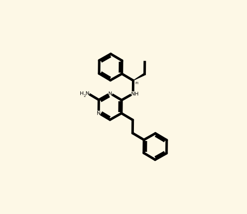 CC[C@@H](Nc1nc(N)ncc1CCc1ccccc1)c1ccccc1